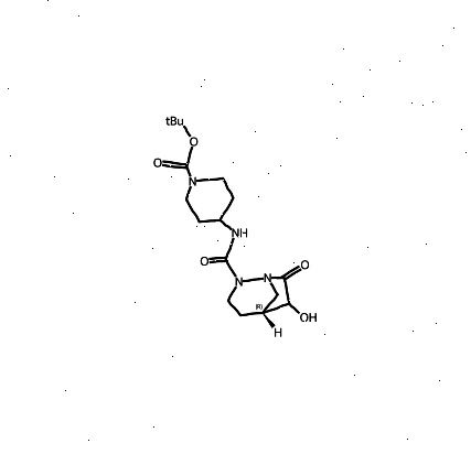 CC(C)(C)OC(=O)N1CCC(NC(=O)N2CC[C@@H]3CN2C(=O)C3O)CC1